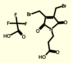 O=C(O)C(F)(F)F.O=C(O)CCN1C(=O)C(CBr)=C(CBr)C1=O